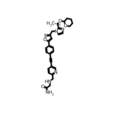 C[C@H](OC1CCCCO1)c1nccn1Cc1cc(-c2ccc(C#Cc3ccc(CNCC(N)=O)nc3)cc2)on1